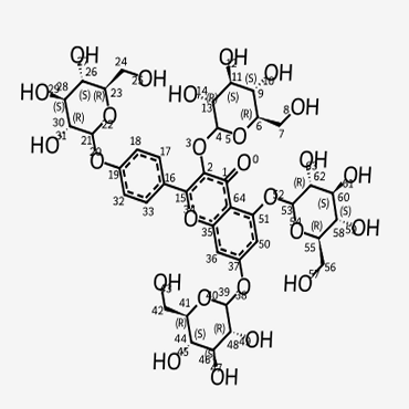 O=c1c(OC2O[C@H](CO)[C@@H](O)[C@H](O)[C@H]2O)c(-c2ccc(OC3O[C@H](CO)[C@@H](O)[C@H](O)[C@H]3O)cc2)oc2cc(OC3O[C@H](CO)[C@@H](O)[C@H](O)[C@H]3O)cc(OC3O[C@H](CO)[C@@H](O)[C@H](O)[C@H]3O)c12